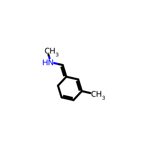 CN/C=C1/C=C(C)C=CC1